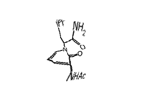 CC(=O)Nc1cccn(C(CC(C)C)C(N)=O)c1=O